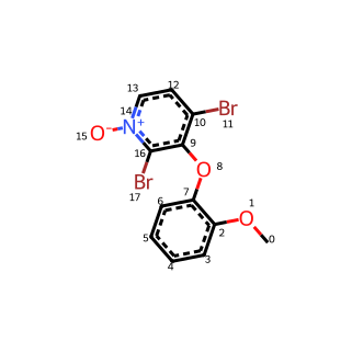 COc1ccccc1Oc1c(Br)cc[n+]([O-])c1Br